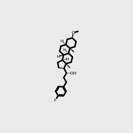 CO[C@H]1CC[C@@]2(C)[C@@H](CC[C@@H]3[C@@H]2CC[C@]2(C)[C@@H]([C@H](O)CCc4ccc(F)cc4)CC[C@@H]32)C1